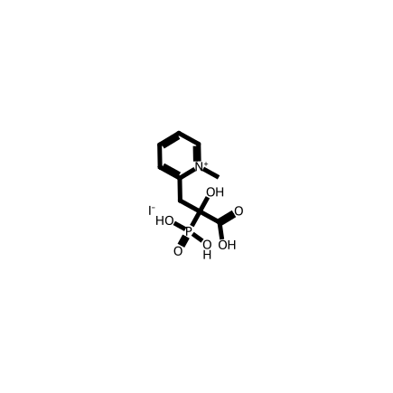 C[n+]1ccccc1CC(O)(C(=O)O)P(=O)(O)O.[I-]